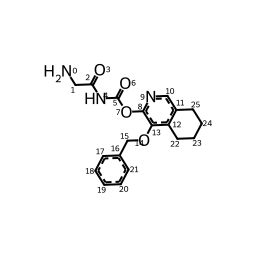 NCC(=O)NC(=O)Oc1ncc2c(c1OCc1ccccc1)CCCC2